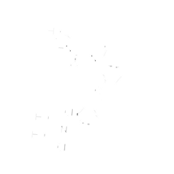 C=C1CCC(N2Cc3c(OCc4ccc(CN(C(C)C)C(C)C)cc4)cccc3C2=O)C(=O)N1